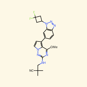 COc1nc(NCC(C)(C)C#N)nn2ccc(-c3ccc4nnn(C5CC(F)(F)C5)c4c3)c12